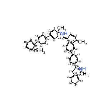 C=C(/C=C\C=C/N[C@@]1(C)C=CC(c2ccc(-c3ccccc3[SiH3])cc2)=CC1)c1cccc(-c2ccc(C(CC3=CCCC=C3)NC)cc2)c1